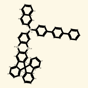 c1ccc(-c2ccc(-c3ccc(N(c4ccc5c(c4)Oc4cc6c(cc4O5)-c4ccccc4C64c5ccccc5-c5ccccc54)c4ccc5ccccc5c4)cc3)cc2)cc1